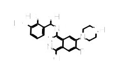 Cc1c(C(C)Nc2nnc(C)c3cc(F)c(N4CCNCC4)cc23)cccc1C(F)(F)F